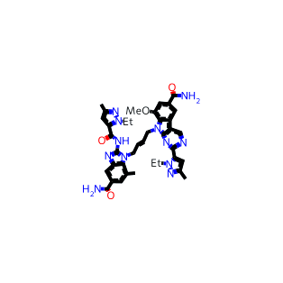 CCn1nc(C)cc1C(=O)Nc1nc2cc(C(N)=O)cc(C)c2n1CC=CCn1c2nc(-c3cc(C)nn3CC)ncc2c2cc(C(N)=O)cc(OC)c21